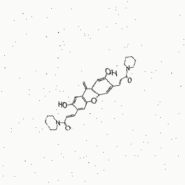 C=C1c2cc(O)c(/C=C/C(=O)N3CCCCC3)cc2OC2C=C(/C=C/C(=O)N3CCCCC3)C(O)=CC12